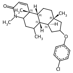 CC1CC2N(C)C(=O)C=C[C@]2(C)[C@@H]2CC[C@]3(C)CC(Oc4ccc(Cl)cc4)C[C@H]3[C@H]12